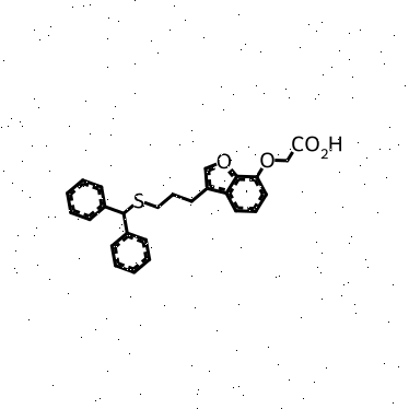 O=C(O)COc1cccc2c(CCCSC(c3ccccc3)c3ccccc3)coc12